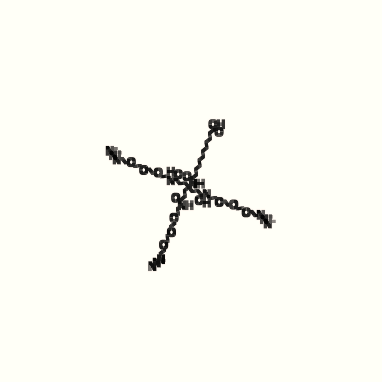 [N-]=[N+]=NCCOCCOCCOCCNC(=O)CCC(CCC(=O)NCCOCCOCCOCCN=[N+]=[N-])(CCC(=O)NCCOCCOCCOCCN=[N+]=[N-])NC(=O)CCCCCCCCCCC(=O)O